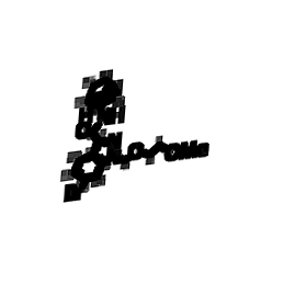 COCCOCn1nc(C(=O)N[C@@H]2CN3CCC2CC3)c2ccc(Br)cc21